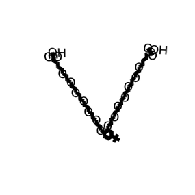 CC(C)(C)c1ccc(OCCOCCOCCOCCOCCOCCOCCCCS(=O)(=O)O)c(OCCOCCOCCOCCOCCOCCOCCCCS(=O)(=O)O)c1